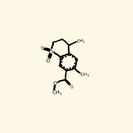 COC(=O)c1cc2c(cc1C)C(C)CCS2(=O)=O